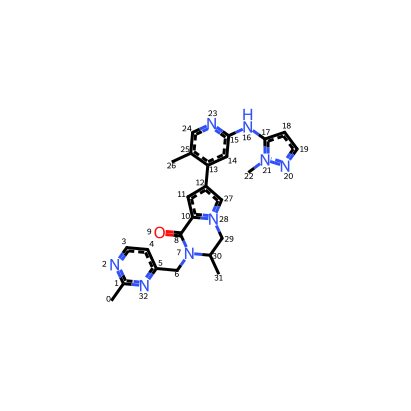 Cc1nccc(CN2C(=O)c3cc(-c4cc(Nc5ccnn5C)ncc4C)cn3CC2C)n1